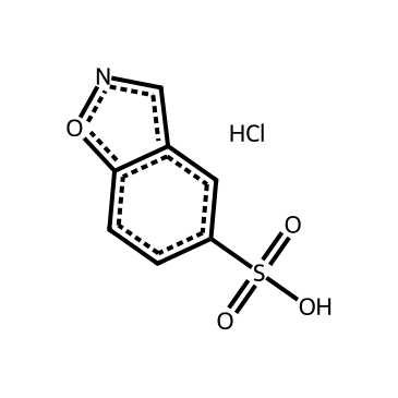 Cl.O=S(=O)(O)c1ccc2oncc2c1